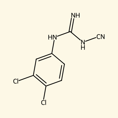 N#CNC(=N)Nc1ccc(Cl)c(Cl)c1